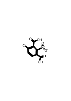 O=C(O)c1[c]cc(Cl)c(C(=O)O)c1[N+](=O)[O-]